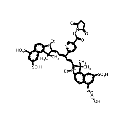 CCN1/C(=C/C=C(/C=C/C2=[N+](CC)c3ccc4c(SOOO)cc(S(=O)(=O)O)cc4c3C2(C)C)c2ccc(C(=O)ON3C(=O)CCC3=O)cn2)C(C)(C)c2c1ccc1c(S(=O)(=O)O)cc(S(=O)(=O)O)cc21